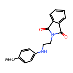 COc1ccc(NCCN2C(=O)c3ccccc3C2=O)cc1